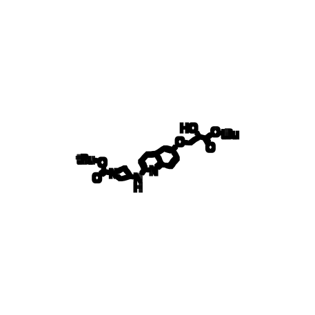 CC(C)(C)OC(=O)[C@H](O)COc1ccc2nc(NC3CN(C(=O)OC(C)(C)C)C3)ccc2c1